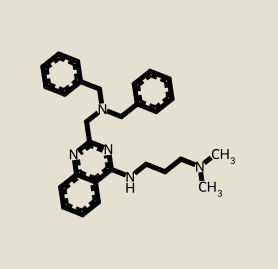 CN(C)CCCNc1nc(CN(Cc2ccccc2)Cc2ccccc2)nc2ccccc12